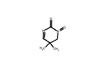 CC1(C)C=NC(=O)[N+](=O)C1